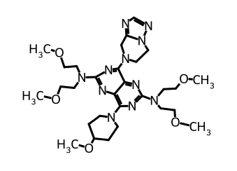 COCCN(CCOC)c1nc(N2CCn3ncnc3C2)c2nc(N(CCOC)CCOC)nc(N3CCC(OC)CC3)c2n1